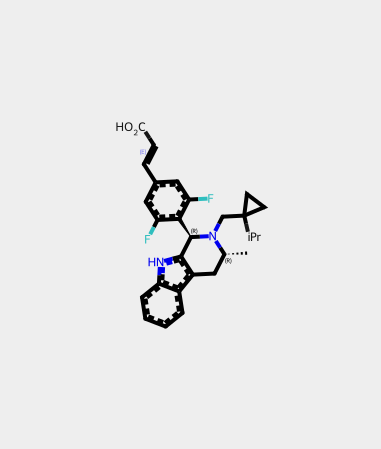 CC(C)C1(CN2[C@H](c3c(F)cc(/C=C/C(=O)O)cc3F)c3[nH]c4ccccc4c3C[C@H]2C)CC1